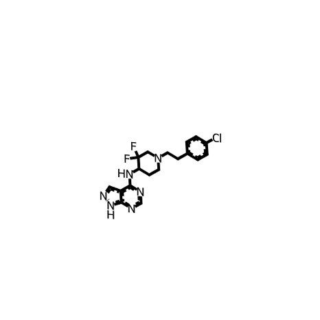 FC1(F)CN(CCc2ccc(Cl)cc2)CCC1Nc1ncnc2[nH]ncc12